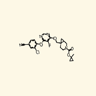 CC1(OC(=O)N2CCC3(COc4ncnc(Oc5ccc(C#N)cc5Cl)c4F)CC3C2)CC1